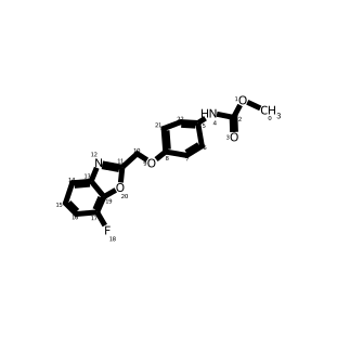 COC(=O)Nc1ccc(OCc2nc3cccc(F)c3o2)cc1